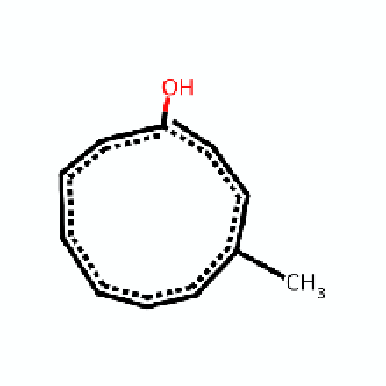 Cc1ccccccc(O)cc1